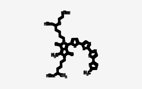 CCCCCCCCCCCCOC(CCCCCCCCCC)CCCCN1C(=O)C2=C(C)N(CCCCC(C)CCCCCCCCCC)C(=O)C2=C1c1ccc(-c2cnc(-c3ncc(-c4ccc(C)s4)s3)s2)s1